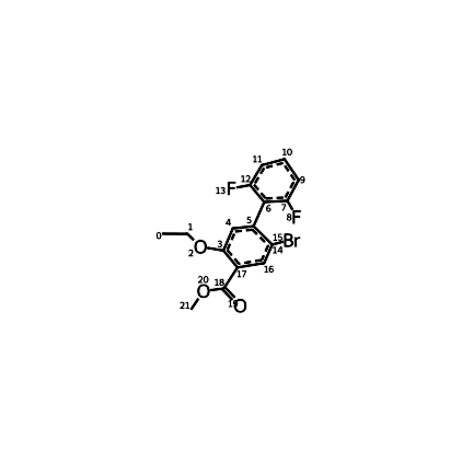 CCOc1cc(-c2c(F)cccc2F)c(Br)cc1C(=O)OC